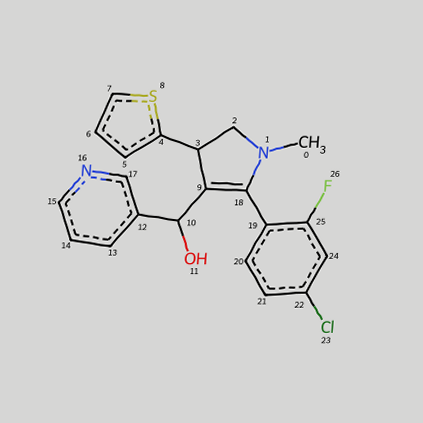 CN1CC(c2cccs2)C(C(O)c2cccnc2)=C1c1ccc(Cl)cc1F